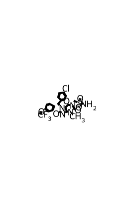 CN1C(=O)N(CS(N)(=O)=O)C(=O)C2C1N=C(Oc1cccc(OC(F)(F)F)c1)N2Cc1ccc(Cl)cc1